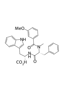 COc1cccc(C(=O)N(C)[C@H](Cc2ccccc2)C(=O)N[C@@H](Cc2c[nH]c3ccccc23)C(=O)O)c1